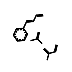 C=C(C)C.C=CC(=C)C.C=CC=Cc1ccccc1